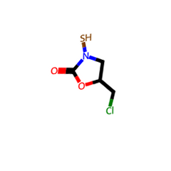 O=C1OC(CCl)CN1S